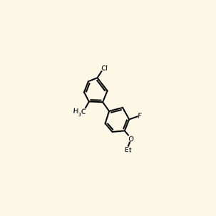 CCOc1ccc(-c2cc(Cl)ccc2C)cc1F